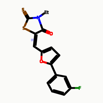 CCN1C(=O)/C(=C\c2ccc(-c3cccc(F)c3)o2)SC1=S